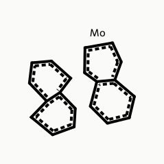 [Mo].c1ccc2ccccc2c1.c1ccc2ccccc2c1